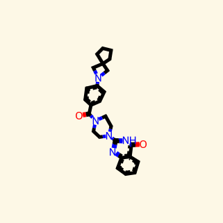 O=C(c1ccc(N2CC3(CCCC3)C2)cc1)N1CCN(c2nc3ccccc3c(=O)[nH]2)CC1